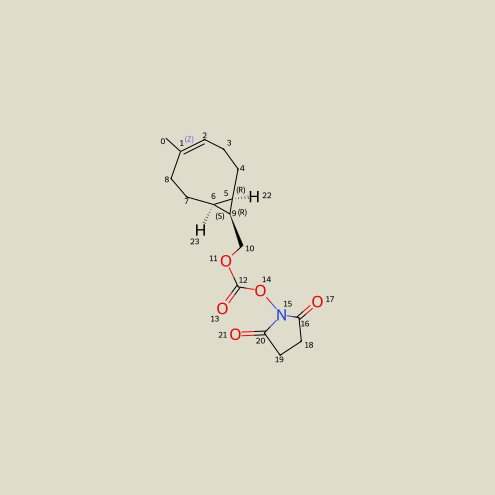 C/C1=C/CC[C@@H]2[C@H](CC1)[C@@H]2COC(=O)ON1C(=O)CCC1=O